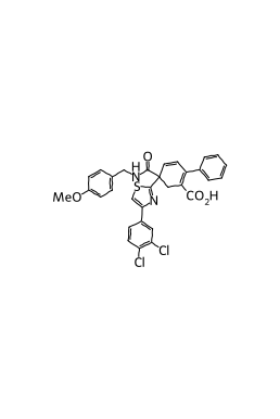 COc1ccc(CNC(=O)C2(c3nc(-c4ccc(Cl)c(Cl)c4)cs3)C=CC(c3ccccc3)=C(C(=O)O)C2)cc1